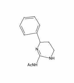 CC(=O)NC1=NC(c2ccccc2)CCN1